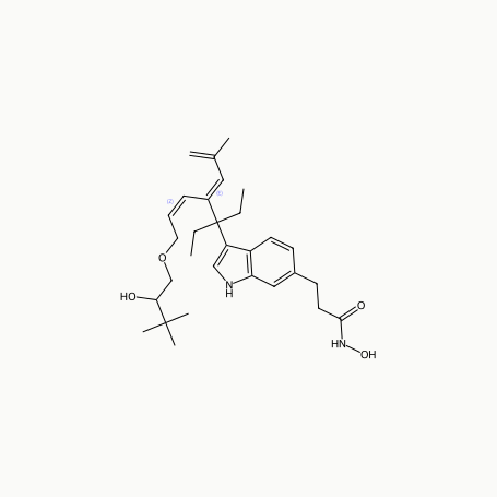 C=C(C)/C=C(\C=C/COCC(O)C(C)(C)C)C(CC)(CC)c1c[nH]c2cc(CCC(=O)NO)ccc12